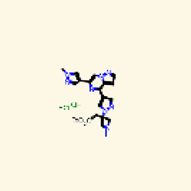 CCOC(=O)CC1(n2cc(-c3nc(-c4cnn(C)c4)cn4nccc34)cn2)CNC1.Cl.Cl